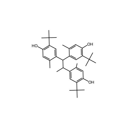 Cc1cc(O)c(C(C)(C)C)cc1C(C)C(c1cc(C(C)(C)C)c(O)cc1C)c1cc(C(C)(C)C)c(O)cc1C